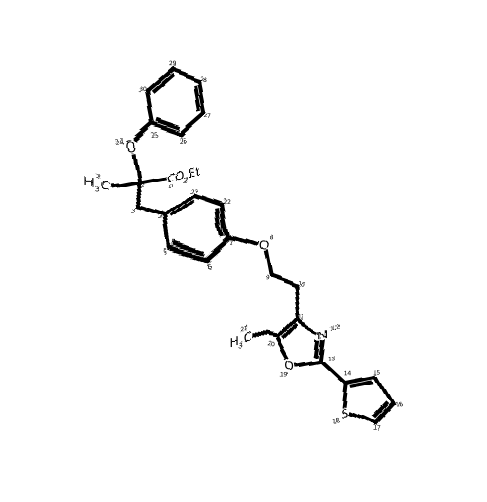 CCOC(=O)C(C)(Cc1ccc(OCCc2nc(-c3cccs3)oc2C)cc1)Oc1ccccc1